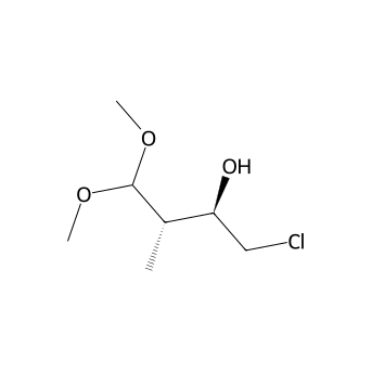 COC(OC)[C@@H](C)[C@@H](O)CCl